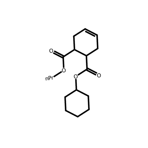 CCCOC(=O)C1CC=CCC1C(=O)OC1CCCCC1